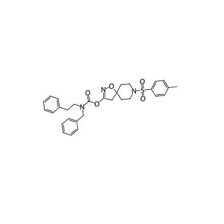 Cc1ccc(S(=O)(=O)N2CCC3(CC2)CC(OC(=O)N(CCc2ccccc2)Cc2ccccc2)=NO3)cc1